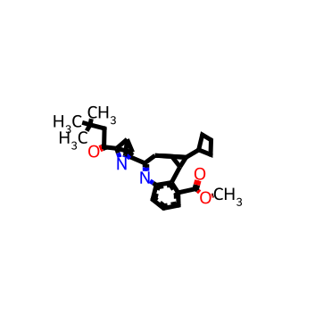 COC(=O)c1cccc2c1C1C3C(C(C4C5C6N4C56C(=O)CC(C)(C)C)=N2)C13C1CCC1